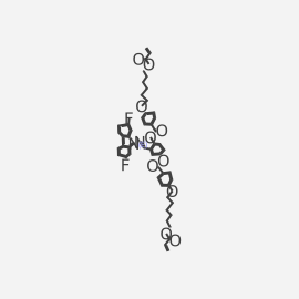 C=CC(=O)OCCCCCCOc1ccc(C(=O)Oc2ccc(OC(=O)c3ccc(OCCCCCCOC(=O)C=C)cc3)c(/C=N/n3c4cc(F)ccc4c4ccc(F)cc43)c2)cc1